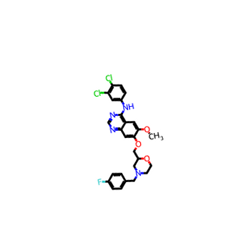 COc1cc2c(Nc3ccc(Cl)c(Cl)c3)ncnc2cc1OCC1CN(Cc2ccc(F)cc2)CCO1